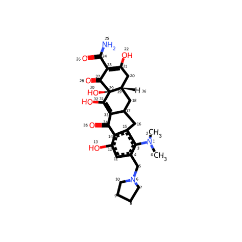 CN(C)c1c(CN2CCCC2)cc(O)c2c1CC1C[C@H]3CC(O)=C(C(N)=O)C(=O)[C@@]3(O)C(O)=C1C2=O